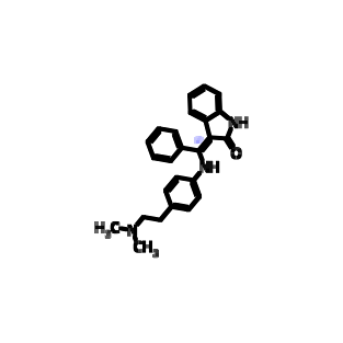 CN(C)CCc1ccc(N/C(=C2\C(=O)Nc3ccccc32)c2ccccc2)cc1